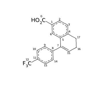 O=C(O)c1ccc2c(c1)C(c1ccc(C(F)(F)F)cc1)=CCC2